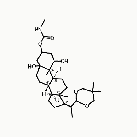 CNC(=O)OC1CC(O)[C@]2(C)[C@H]3CC[C@]4(C)[C@@H](C(C)C5OCC(C)(C)CO5)CC[C@H]4[C@@H]3CCC2(O)C1